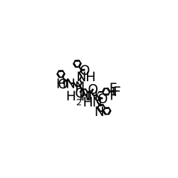 N[C@@H](CC(=O)N(CCNCC(=O)c1ccccc1)CCNCC(=O)c1ccccc1)C(=O)N[C@@H](Cc1ccc(C(F)(F)F)cc1)C(=O)Nc1cnc2ccccc2c1